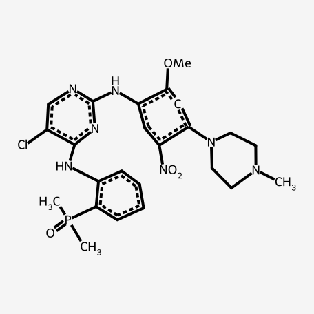 COc1cc(N2CCN(C)CC2)c([N+](=O)[O-])cc1Nc1ncc(Cl)c(Nc2ccccc2P(C)(C)=O)n1